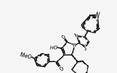 COc1ccc(C(=O)C2=C(O)C(=O)N(c3nc(-c4ccncc4)cs3)C2C2CCCCC2)cc1